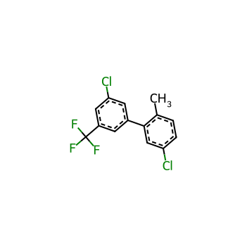 Cc1ccc(Cl)cc1-c1cc(Cl)cc(C(F)(F)F)c1